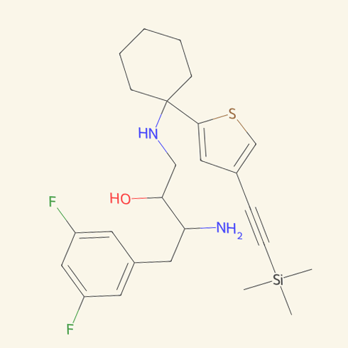 C[Si](C)(C)C#Cc1csc(C2(NCC(O)C(N)Cc3cc(F)cc(F)c3)CCCCC2)c1